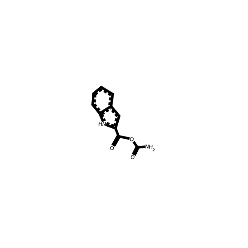 NC(=O)OC(=O)c1cc2ccccc2[nH]1